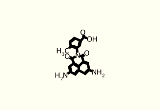 Cc1ccc(C(=O)O)cc1N1C(=O)c2cc(N)cc3cc(N)cc(c23)C1=O